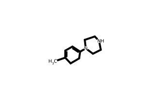 CC1=CC=C(N2CCNCC2)CC1